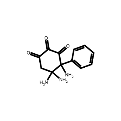 NC1(N)CC(=O)C(=O)C(=O)C1(N)c1ccccc1